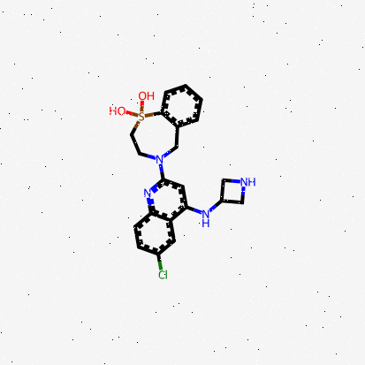 OS1(O)CCN(c2cc(NC3CNC3)c3cc(Cl)ccc3n2)Cc2ccccc21